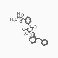 CNS(=O)(=O)c1cccc(N2C(=O)N(Cc3ccccc3Cc3ccccc3)C(C)(C)C2=O)c1